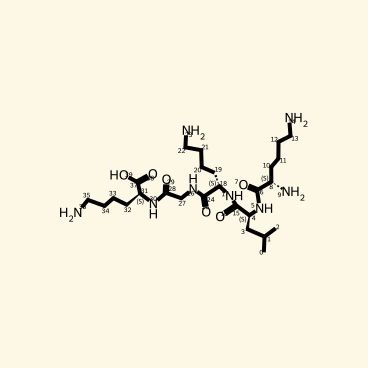 CC(C)C[C@H](NC(=O)[C@@H](N)CCCCN)C(=O)N[C@@H](CCCCN)C(=O)NCC(=O)N[C@@H](CCCCN)C(=O)O